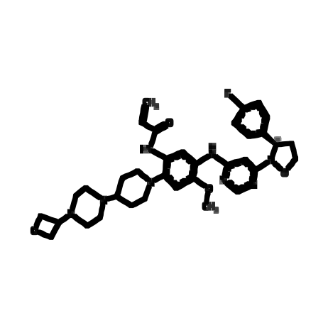 C=CC(=O)Nc1cc(Nc2cc(N3OCC[C@@H]3c3ccc(F)cc3)ncn2)c(OC)cc1N1CCC(N2CCN(C3COC3)CC2)CC1